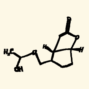 CC(O)OCC1CC[C@H]2OC(=O)C[C@@H]12